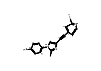 Cc1nc(C#Cc2ccnc(F)c2)cn1-c1ccc(F)cc1